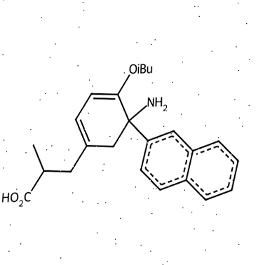 CC(C)COC1=CC=C(CC(C)C(=O)O)CC1(N)c1ccc2ccccc2c1